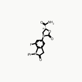 CC(C)N1C(=O)Cc2cc(N3C[C@H](C(N)=O)OC3=O)cc(F)c21